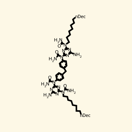 CCCCCCCCCCCCCCCCCCN(C(N)=O)c1nc(N)nc(N(C(N)=O)c2ccc(Cc3ccc(N(C(N)=O)c4nc(N)nc(N(CCCCCCCCCCCCCCCCCC)C(N)=O)n4)cc3)cc2)n1